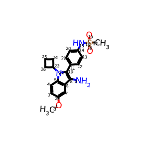 COc1ccc2c(c1)c(N)c(-c1ccc(NS(C)(=O)=O)cc1)n2C1CCC1